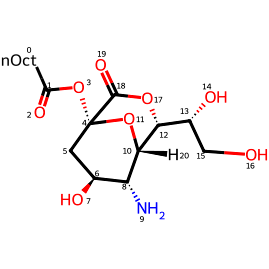 CCCCCCCCC(=O)O[C@@]12C[C@H](O)[C@@H](N)[C@H](O1)[C@@H]([C@H](O)CO)OC2=O